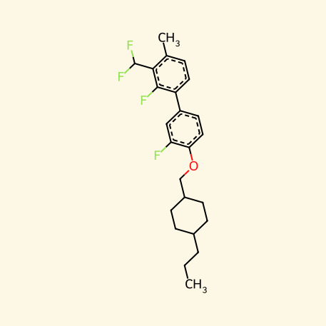 CCCC1CCC(COc2ccc(-c3ccc(C)c(C(F)F)c3F)cc2F)CC1